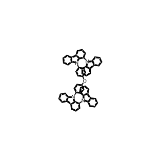 c1ccc2c(c1)c1ccccc1n2-c1cccc2c3ccccc3n(-c3ccc(Oc4ccc(-n5c6ccccc6c6cccc(-n7c8ccccc8c8ccccc87)c65)cc4)cc3)c12